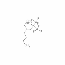 CCCCC(CC)CC(O)(C(F)(F)F)C(F)(F)F